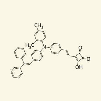 Cc1ccc(N(c2ccc(C=C(c3ccccc3)c3ccccc3)cc2)c2ccc(/C=C/c3c(O)c(=O)c3=O)cc2)c(C)c1